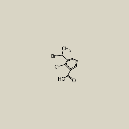 CC(Br)c1cccc(C(=O)O)c1Cl